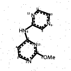 COc1nccc(Nc2cnccn2)n1